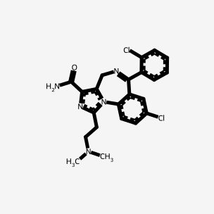 CN(C)CCc1nc(C(N)=O)c2n1-c1ccc(Cl)cc1C(c1ccccc1Cl)=NC2